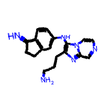 N=C1CCc2cc(Nc3c(CCCN)nc4cnccn34)ccc21